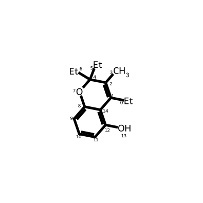 CCC1=C(C)C(CC)(CC)Oc2cccc(O)c21